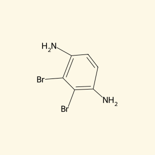 Nc1ccc(N)c(Br)c1Br